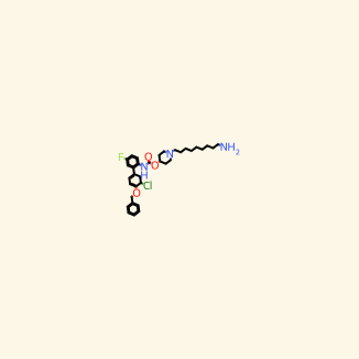 NCCCCCCCCCN1CCC(OC(=O)Nc2ccc(F)cc2C2=CC=C(OCc3ccccc3)C(Cl)C2)CC1